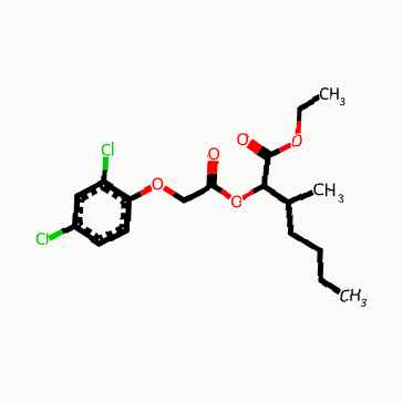 CCCCC(C)C(OC(=O)COc1ccc(Cl)cc1Cl)C(=O)OCC